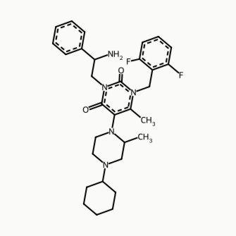 Cc1c(N2CCN(C3CCCCC3)CC2C)c(=O)n(CC(N)c2ccccc2)c(=O)n1Cc1c(F)cccc1F